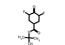 CC(C)(C)OC(=O)C1CC(F)C(=O)C(F)C1